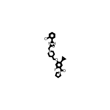 O=C(c1cc(C2CC2)c(OCC2CCN(Cc3nc(-c4ccccc4Cl)no3)CC2)cc1F)N1CCCC1